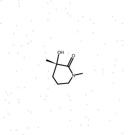 CN1CCC[C@](C)(O)C1=O